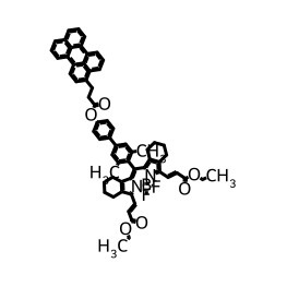 CCOC(=O)/C=C/C1=[N+]2C(=C(c3c(C)cc(-c4ccc(OC(=O)CCc5ccc6c7cccc8cccc(c9cccc5c96)c87)cc4)cc3C)c3c4c(c(/C=C/C(=O)OCC)n3[B-]2(F)F)CCCC4)C2=C1CCCC2